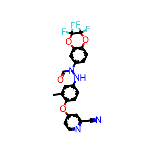 Cc1cc(NN(C=O)c2ccc3c(c2)OC(F)(F)C(F)(F)O3)ccc1Oc1ccnc(C#N)c1